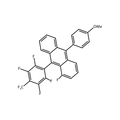 COc1ccc(-c2c3ccccc3c(-c3c(F)c(F)c(C(F)(F)F)c(F)c3F)c3c(F)cccc23)cc1